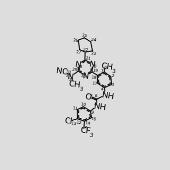 Cc1ccc(NC(=O)Nc2ccc(Cl)c(C(F)(F)F)c2)cc1-c1nc(C2CCCCC2)nc(N(C)C#N)n1